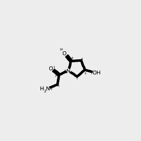 NCC(=O)N1CC(O)CC1=O